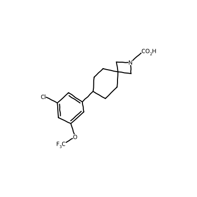 O=C(O)N1CC2(CCC(c3cc(Cl)cc(OC(F)(F)F)c3)CC2)C1